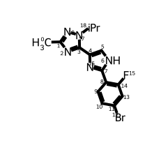 Cc1nc(-c2c[nH]c(-c3ccc(Br)cc3F)n2)n(C(C)C)n1